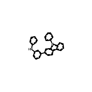 c1ccc(Nc2cccc(-c3ccc4c5ccccc5n(-c5ccccc5)c4c3)c2)cc1